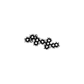 c1ccc2cc(-c3c4ccccc4c(-c4ccc(-c5cc6sc7ccc8c9ccccc9oc8c7c6c6ccccc56)cc4)c4ccccc34)ccc2c1